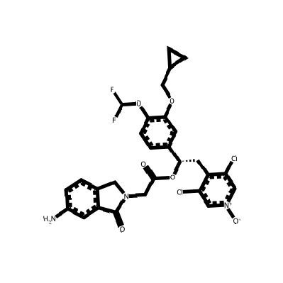 Nc1ccc2c(c1)C(=O)N(CC(=O)O[C@@H](Cc1c(Cl)c[n+]([O-])cc1Cl)c1ccc(OC(F)F)c(OCC3CC3)c1)C2